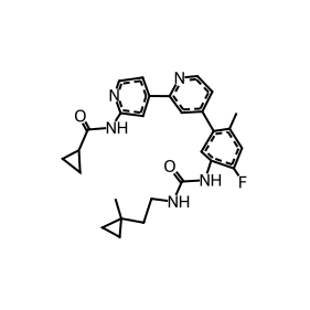 Cc1cc(F)c(NC(=O)NCCC2(C)CC2)cc1-c1ccnc(-c2ccnc(NC(=O)C3CC3)c2)c1